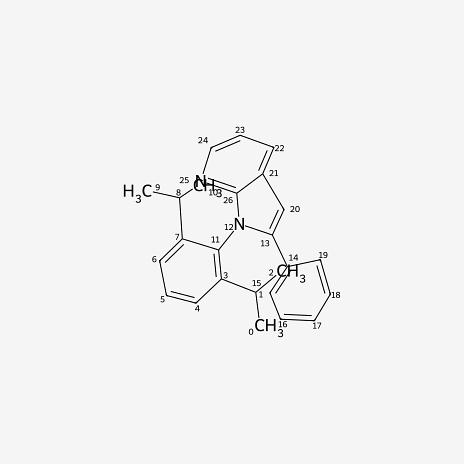 CC(C)c1cccc(C(C)C)c1-n1c(-c2ccccc2)cc2cccnc21